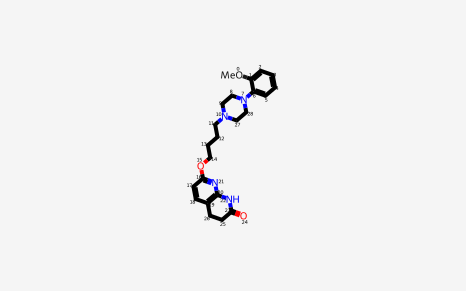 COc1ccccc1N1CCN(CCCCOc2ccc3c(n2)NC(=O)CC3)CC1